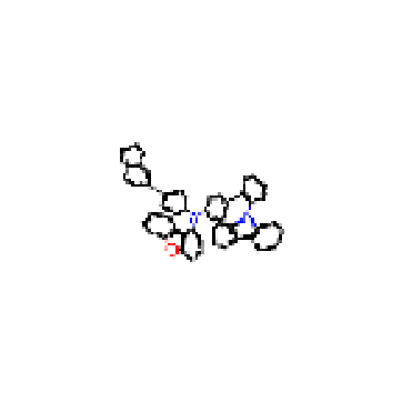 c1ccc(-n2c3ccccc3c3ccccc32)c(-c2ccc(N(c3ccc(-c4ccc5ccccc5c4)cc3)c3cccc4oc5ccccc5c34)cc2)c1